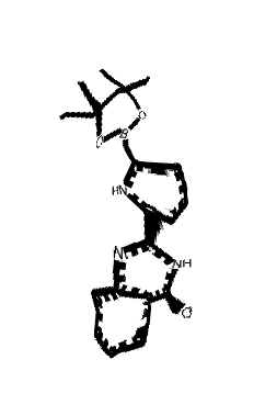 CC1(C)OB(c2ccc(-c3nc4ccccc4c(=O)[nH]3)[nH]2)OC1(C)C